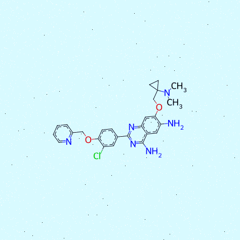 CN(C)C1(COc2cc3nc(-c4ccc(OCc5ccccn5)c(Cl)c4)nc(N)c3cc2N)CC1